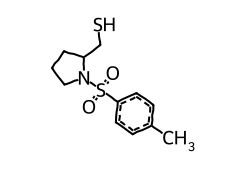 Cc1ccc(S(=O)(=O)N2CCCC2CS)cc1